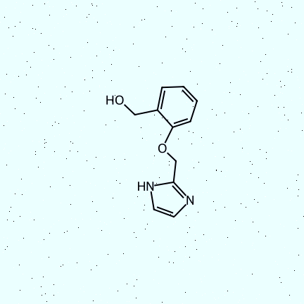 OCc1ccccc1OCc1ncc[nH]1